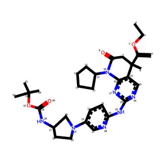 C=C(OCC)C1(C)CC(=O)N(C2CCCC2)c2nc(Nc3ccc(N4CCC(NC(=O)OC(C)(C)C)C4)cn3)ncc21